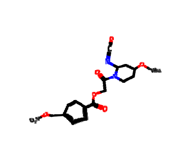 CC(C)(C)OC1CCN(C(=O)COC(=O)c2ccc(CO[N+](=O)[O-])cc2)C(N=C=O)C1